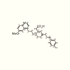 COc1ccc2nccc(CCC[C@@H]3CCN(CCSc4ccc(C)cc4)C[C@@H]3CC(=O)O)c2c1